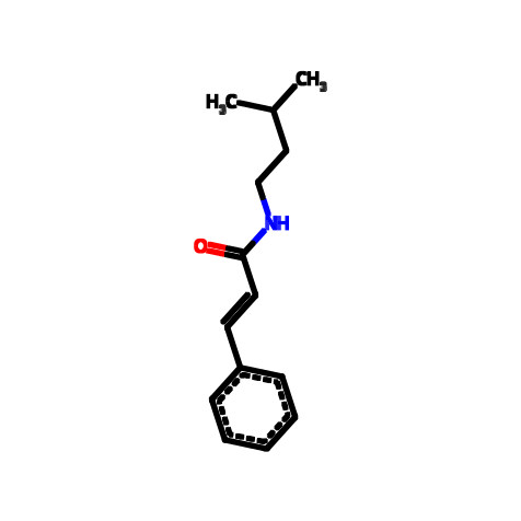 CC(C)CCNC(=O)/C=C/c1ccccc1